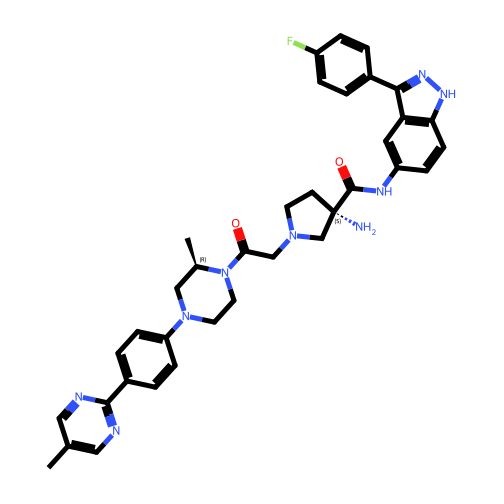 Cc1cnc(-c2ccc(N3CCN(C(=O)CN4CC[C@@](N)(C(=O)Nc5ccc6[nH]nc(-c7ccc(F)cc7)c6c5)C4)[C@H](C)C3)cc2)nc1